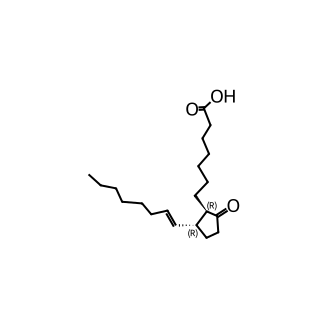 CCCCCCC=C[C@H]1CCC(=O)[C@@H]1CCCCCCC(=O)O